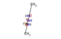 CCCCCCCCCCCCCCCCCC(=O)NCCCCCC(=O)NCCCC[C@@H](S)NC(=O)CCCCCCCCCCCCC